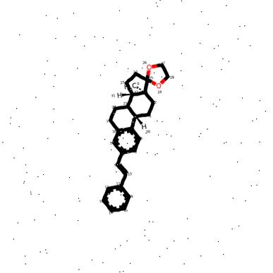 C[C@]12CC[C@@H]3c4ccc(/C=C/c5ccccc5)cc4CCC3[C@@H]1CCC21OCCO1